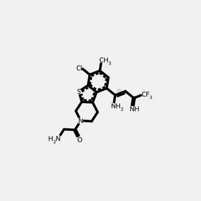 Cc1cc(/C(N)=C/C(=N)C(F)(F)F)c2c3c(sc2c1Cl)CN(C(=O)CN)CC3